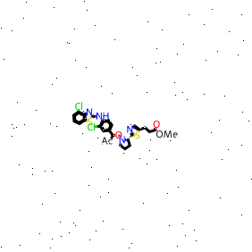 COC(=O)CCc1cnc([C@@H]2CCCN2OC(C(C)=O)c2ccc(Nc3nc4c(Cl)cccc4s3)c(Cl)c2)s1